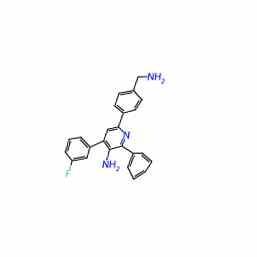 NCc1ccc(-c2cc(-c3cccc(F)c3)c(N)c(-c3ccccc3)n2)cc1